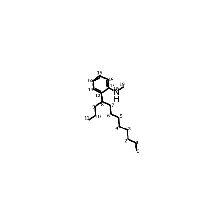 CCCCCCCCC(CCC)c1ccccc1NC